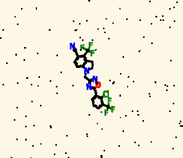 N#Cc1ccc2c(c1C(F)(F)F)CCN2Cc1noc(-c2cccc(C(F)(F)F)c2Cl)n1